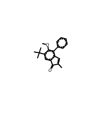 COc1c(C(C)(C)C)cc2c(c1-c1ccccc1)C=C(C)C2=O